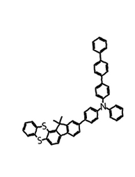 CC1(C)c2cc(-c3ccc(N(c4ccccc4)c4ccc(-c5ccc(-c6ccccc6)cc5)cc4)cc3)ccc2-c2ccc3c(c21)Sc1ccccc1S3